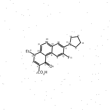 CCn1cc(C(=O)O)c(=O)c2c3cc(F)c(N4CCCC4)cc3ncc21